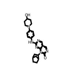 O=c1ncc2cnc(Nc3ccc(N4CCC(O)CC4)cc3)nc2n1C1CC2CCC1C2